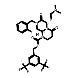 CN(C)CC[C@H]1C(=O)N(Cc2ccccc2F)C[C@@H]2N(C(=O)OCc3cc(C(F)(F)F)cc(C(F)(F)F)c3)CCC(=O)N21